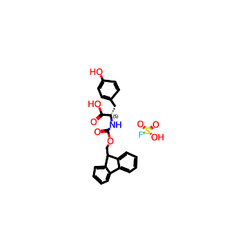 O=C(N[C@@H](Cc1ccc(O)cc1)C(=O)O)OCC1c2ccccc2-c2ccccc21.O=S(=O)(O)F